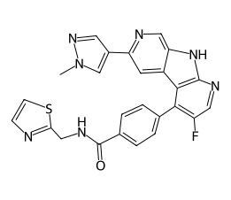 Cn1cc(-c2cc3c(cn2)[nH]c2ncc(F)c(-c4ccc(C(=O)NCc5nccs5)cc4)c23)cn1